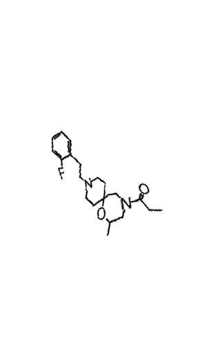 CCC(=O)N1CC(C)OC2(CCN(CCc3ccccc3F)CC2)C1